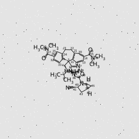 CC(C)[C@@H](CC1(c2nnn[nH]2)c2ccc(C(=O)N(C)C)cc2CCc2cc(C(=O)N(C)C)ccc21)NCC(=O)N1[C@H](C#N)C[C@@H]2C[C@@H]21